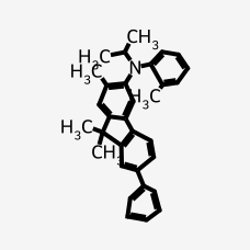 Cc1ccccc1N(c1cc2c(cc1C)C(C)(C)c1cc(-c3ccccc3)ccc1-2)C(C)C